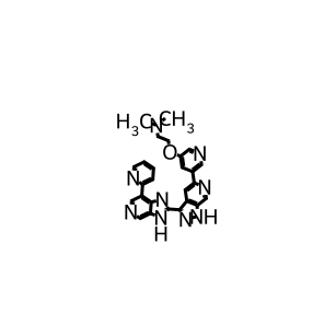 CN(C)CCOc1cncc(-c2cc3c(-c4nc5c(-c6ccccn6)cncc5[nH]4)n[nH]c3cn2)c1